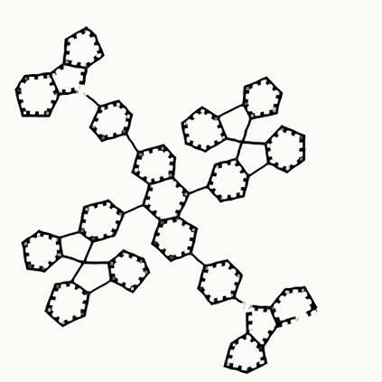 c1ccc2c(c1)-c1ccccc1C21c2ccccc2-c2ccc(-c3c4ccc(-c5ccc(-n6c7ccccc7c7ccccc76)cc5)cc4c(-c4ccc5c(c4)C4(c6ccccc6-c6ccccc64)c4ccccc4-5)c4ccc(-c5ccc(-n6c7ccccc7c7ccccc76)cc5)cc34)cc21